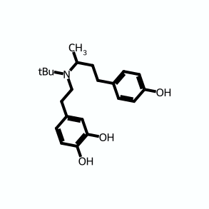 CC(CCc1ccc(O)cc1)N(CCc1ccc(O)c(O)c1)C(C)(C)C